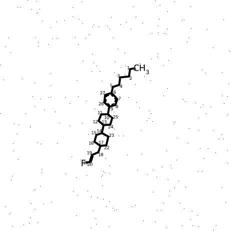 CCCCCCc1ccc(C2CCC(C3CCC(CC=CF)CC3)CC2)cc1